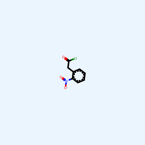 O=C(Cl)Cc1ccccc1[N+](=O)[O-]